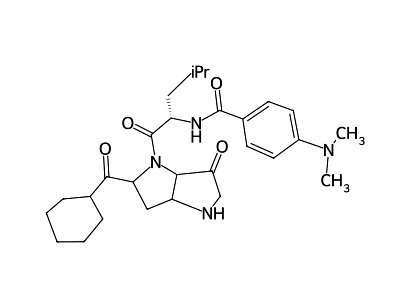 CC(C)C[C@H](NC(=O)c1ccc(N(C)C)cc1)C(=O)N1C(C(=O)C2CCCCC2)CC2NCC(=O)C21